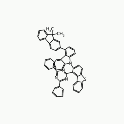 CC1(C)c2ccccc2-c2ccc(-c3cccc4c3c3ccccc3n4-c3ccc4sc5ccccc5c4c3-c3nc(-c4ccccc4)nc(-c4ccccc4)n3)cc21